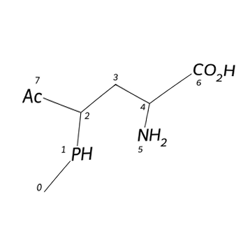 CPC(CC(N)C(=O)O)C(C)=O